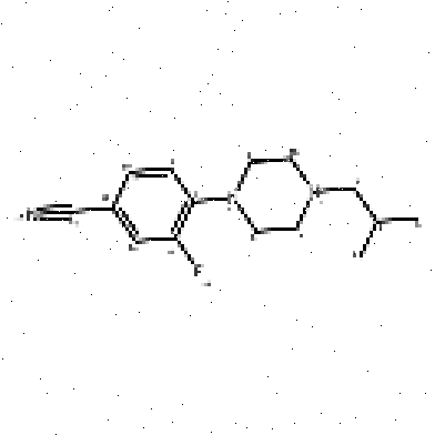 CC(C)CN1CCN(c2ccc(C#N)cc2F)CC1